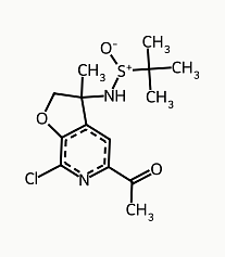 CC(=O)c1cc2c(c(Cl)n1)OCC2(C)N[S+]([O-])C(C)(C)C